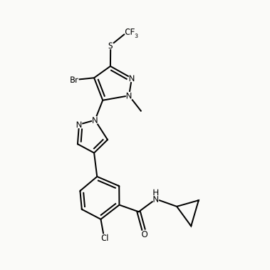 Cn1nc(SC(F)(F)F)c(Br)c1-n1cc(-c2ccc(Cl)c(C(=O)NC3CC3)c2)cn1